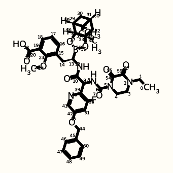 CCN1CCN(C(=O)NC(C(=O)N[C@@H](Cc2cccc(C(=O)O)c2OC)B2O[C@@H]3[C@@H]4C[C@H](C[C@]3(C)O2)C4(C)C)c2ncc(OCc3ccccc3)cc2F)C(=O)C1=O